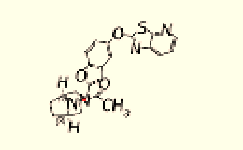 CC(=O)N1C[C@H]2CC[C@@H](C1)N2Cc1cc2cc(Oc3nc4cccnc4s3)ccc2o1